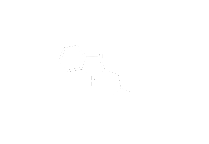 CC(Cc1nc2ccccc2[nH]1)C(=O)O